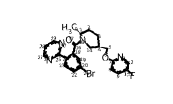 C[C@@H]1CC[C@@H](COc2ccc(F)cn2)CN1C(=O)c1cc(Br)ccc1-c1ncccn1